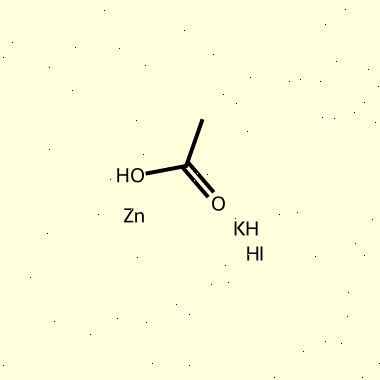 CC(=O)O.I.[KH].[Zn]